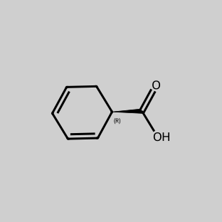 O=C(O)[C@H]1C=CC=CC1